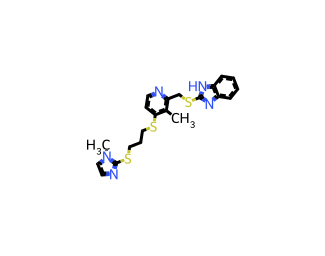 Cc1c(SCCCSc2nccn2C)ccnc1CSc1nc2ccccc2[nH]1